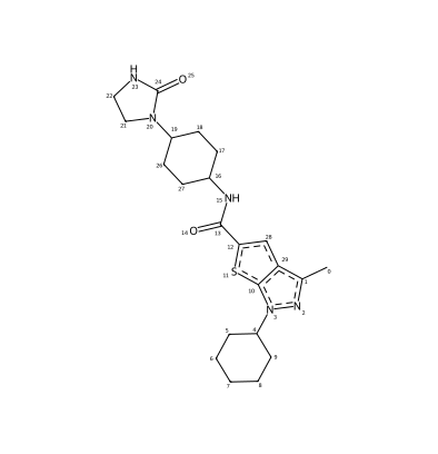 Cc1nn(C2CCCCC2)c2sc(C(=O)NC3CCC(N4CCNC4=O)CC3)cc12